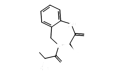 CC[C@H](C)[C@H]1C(=O)Nc2ccccc2CN1C(=O)[C@@H](C)NC(C)=O